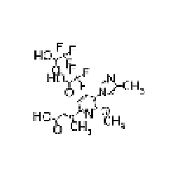 COc1nc(/C(C)=C/C(=O)O)ccc1-n1cnc(C)c1.O=C(O)C(F)(F)F.O=C(O)C(F)(F)F